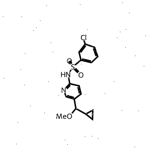 COC(c1ccc(NS(=O)(=O)c2cccc(Cl)c2)nc1)C1CC1